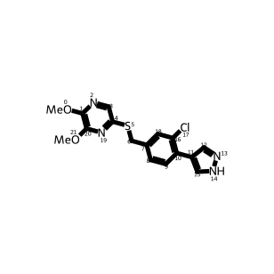 COc1ncc(SCc2ccc(-c3cn[nH]c3)c(Cl)c2)nc1OC